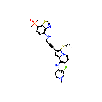 CN1CC[C@H](Nc2cccn3c(SC(F)(F)F)c(C#CCNc4ccc(P(C)(C)=O)c5scnc45)cc23)[C@H](F)C1